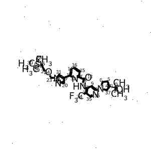 CC(C)(O)[C@@H]1CCN(c2cc(NC(=O)c3cccc(-c4cnn(COCC[Si](C)(C)C)c4)n3)c(C(F)(F)F)cn2)C1